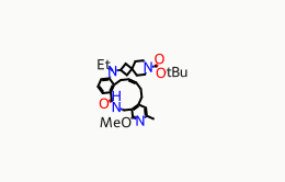 CCN(c1cccc2c1C/C=C\CCc1cc(C)nc(OC)c1CNC2=O)C1CC2(CCN(C(=O)OC(C)(C)C)CC2)C1